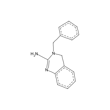 NC1=Nc2ccccc2CN1Cc1ccccc1